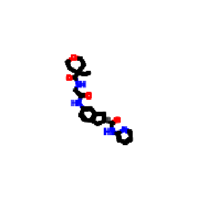 CCC1(C(=O)NCC(=O)Nc2ccc3c(c2)C[C@H](C(=O)Nc2ccccn2)C3)CCOCC1